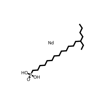 CCCCC(CC)CCCCCCCCCCCCCP(=O)(O)O.[Nd]